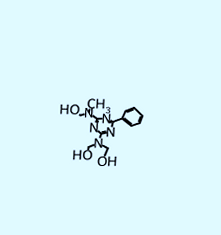 CN(CO)c1nc(-c2ccccc2)nc(N(CO)CO)n1